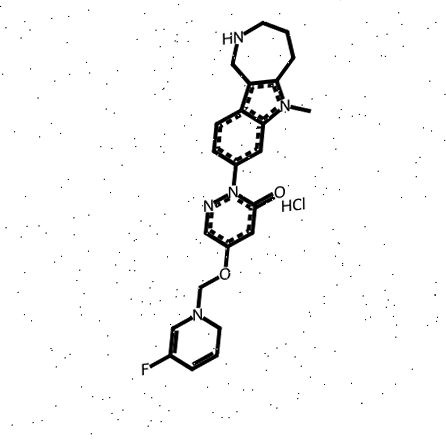 Cl.Cn1c2c(c3ccc(-n4ncc(OCN5C=C(F)C=CC5)cc4=O)cc31)CNCCC2